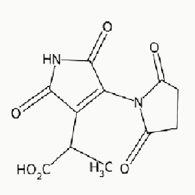 CC(C(=O)O)C1=C(N2C(=O)CCC2=O)C(=O)NC1=O